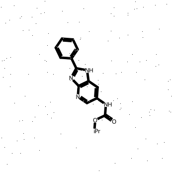 CC(C)OC(=O)Nc1cnc2nc(-c3ccccc3)[nH]c2c1